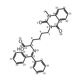 Cn1c(=O)n(CCCCC(N=C(c2ccccc2)c2ccccc2)C(=O)O)c(=O)c2ccccc21